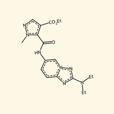 CCOC(=O)c1cnn(C)c1C(=O)Nc1ccc2nc(N(CC)CC)nn2c1